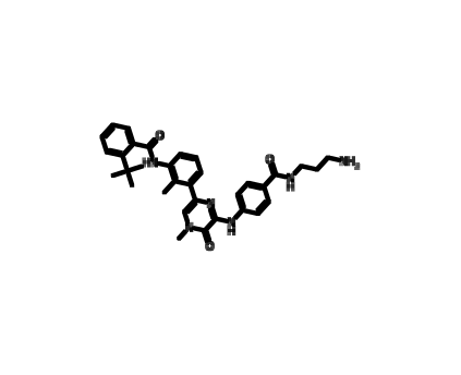 Cc1c(NC(=O)c2ccccc2C(C)(C)C)cccc1-c1cn(C)c(=O)c(Nc2ccc(C(=O)NCCCN)cc2)n1